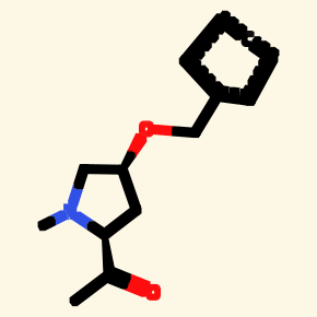 CC(=O)[C@@H]1C[C@H](OCc2ccccc2)CN1C